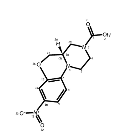 O=C(O)N1CCN2c3ccc([N+](=O)[O-])cc3OC[C@@H]2C1